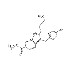 CCCCc1nn2cc(C(=O)OC)ccc2c1Cc1ccc(Br)cc1